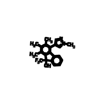 Cc1c(C)c(-c2cnn(C)c2)c2c(c1C)C(O)(C(F)(F)F)c1ccccc1-2